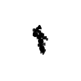 N#CC(=CC1CC1)C(=O)N1CCCC(n2nc(-c3ccc(NC(=O)c4ccc(C(F)(F)F)cc4)cc3)c3c(N)ncnc32)C1